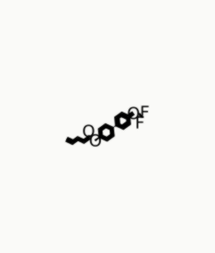 C=CCCC(=O)O[C@H]1CC[C@H](c2ccc(OC(F)F)cc2)CC1